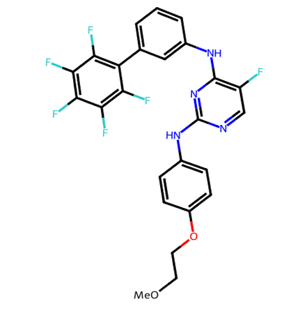 COCCOc1ccc(Nc2ncc(F)c(Nc3cccc(-c4c(F)c(F)c(F)c(F)c4F)c3)n2)cc1